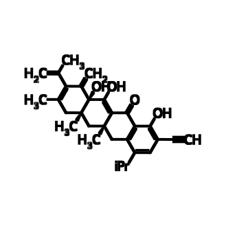 C#Cc1cc(C(C)C)c2c(c1O)C(=O)C1=C(O)[C@@]3(O)C(=C)C(C(=C)C)=C(C)C[C@@]3(C)C[C@@]1(C)C2